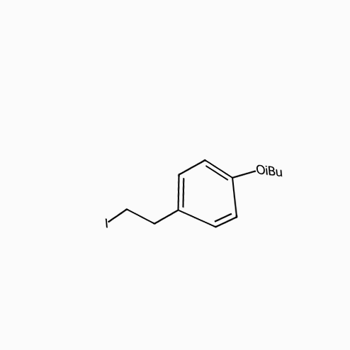 CC(C)COc1ccc(CCI)cc1